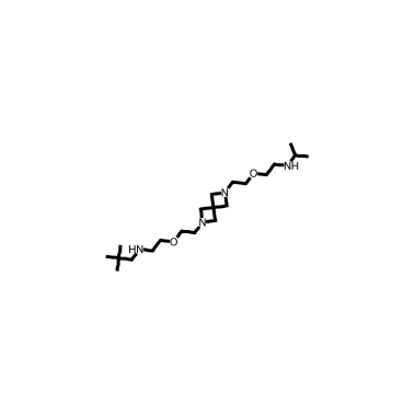 CC(C)NCCOCCN1CC2(CN(CCOCCNCC(C)(C)C)C2)C1